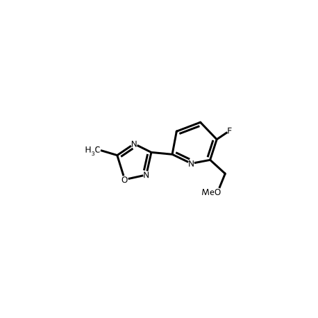 COCc1nc(-c2noc(C)n2)ccc1F